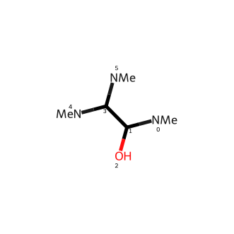 CNC(O)C(NC)NC